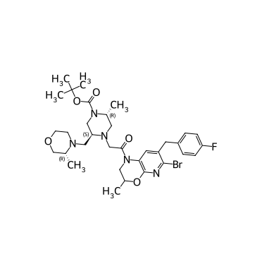 CC1CN(C(=O)CN2C[C@@H](C)N(C(=O)OC(C)(C)C)C[C@@H]2CN2CCOC[C@H]2C)c2cc(Cc3ccc(F)cc3)c(Br)nc2O1